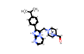 CC(C)c1ccc(-c2nc3ncccn3c2CN2CC3CCC2CN3C=O)cc1